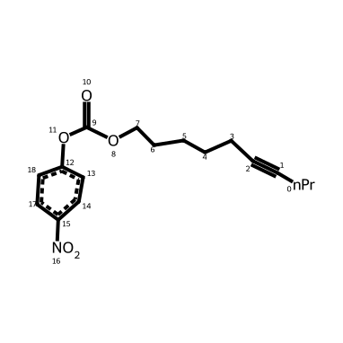 CCCC#CCCCCCOC(=O)Oc1ccc([N+](=O)[O-])cc1